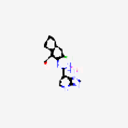 O=Cc1c(N=C(NO)c2ccnc3nc[nH]c23)c(Cl)cc2ccccc12